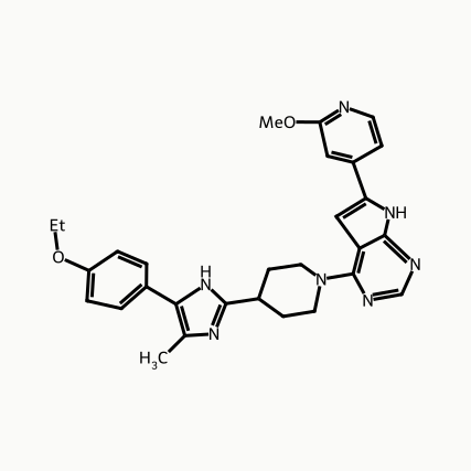 CCOc1ccc(-c2[nH]c(C3CCN(c4ncnc5[nH]c(-c6ccnc(OC)c6)cc45)CC3)nc2C)cc1